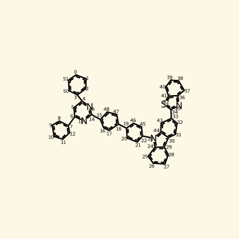 c1ccc(-c2cc(-c3ccccc3)nc(-c3ccc(-c4ccc(-n5c6ccccc6c6ccc(-c7nc8ccccc8s7)cc65)cc4)cc3)n2)cc1